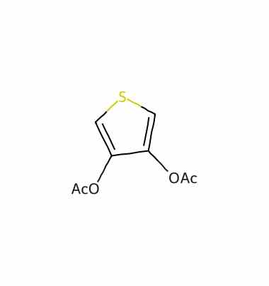 CC(=O)Oc1cscc1OC(C)=O